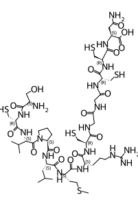 CSCC[C@H](NC(=O)[C@H](CC(C)C)NC(=O)[C@@H]1CCCN1C(=O)[C@@H](NC(=O)[C@H](CS)NC(=O)[C@@H](N)CO)C(C)C)C(=O)N[C@@H](CCCNC(=N)N)C(=O)N[C@@H](CS)C(=O)NCC(=O)NCC(=O)N[C@@H](CS)C(=O)N[C@@H](CS)C(=O)N[C@@H](CC(N)=O)C(=O)O